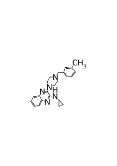 Cc1cccc(CN2CCN(c3nc4ccccc4nc3NC3CC3)CC2)c1